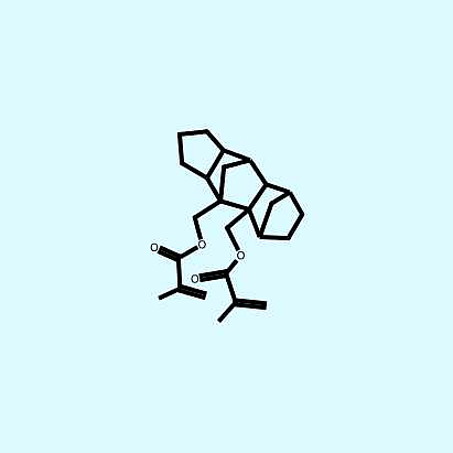 C=C(C)C(=O)OCC12CC(C3CCCC31)C1C3CCC(C3)C12COC(=O)C(=C)C